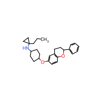 CCCC1(NC2CCC(Oc3ccc4c(c3)CCC(c3ccccc3)O4)CC2)CC1